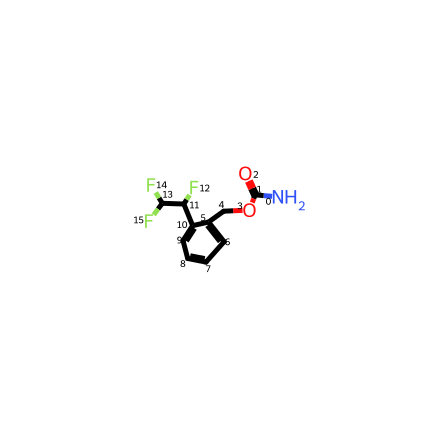 NC(=O)OCc1ccccc1C(F)C(F)F